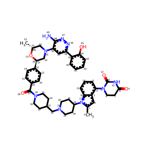 Cc1cc2c(N3CCC(=O)NC3=O)cccc2n1C1CCN(CC2CCN(C(=O)c3ccc([C@@H]4CN(c5cc(-c6ccccc6O)nnc5N)C[C@@H](C)O4)cc3)CC2)CC1